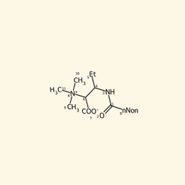 CCCCCCCCCC(=O)NC(CC)C(C(=O)[O-])[N+](C)(C)C